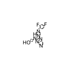 OC1CC(Nc2nc3cnccc3nc2N2CCN(Cc3ccc(F)cc3F)CC2)C1